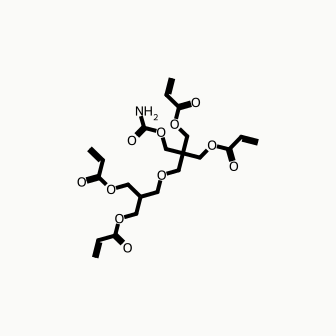 C=CC(=O)OCC(COCC(COC(N)=O)(COC(=O)C=C)COC(=O)C=C)COC(=O)C=C